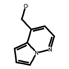 [O]Cc1ccnn2cccc12